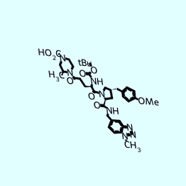 COc1ccc(C[C@@H]2C[C@@H](C(=O)NCc3ccc4c(c3)nnn4C)N(C(=O)[C@@H](CCC(=O)N3CCN(C(=O)O)C[C@@H]3C)NC(=O)OC(C)(C)C)C2)cc1